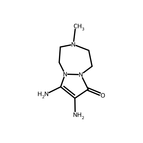 CN1CCn2c(N)c(N)c(=O)n2CC1